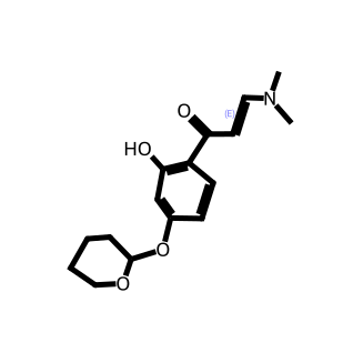 CN(C)/C=C/C(=O)c1ccc(OC2CCCCO2)cc1O